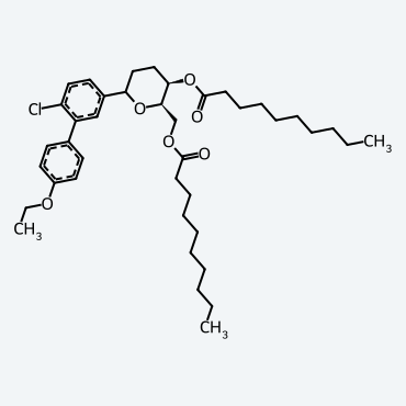 CCCCCCCCCC(=O)OC[C@H]1OC(c2ccc(Cl)c(-c3ccc(OCC)cc3)c2)CC[C@H]1OC(=O)CCCCCCCCC